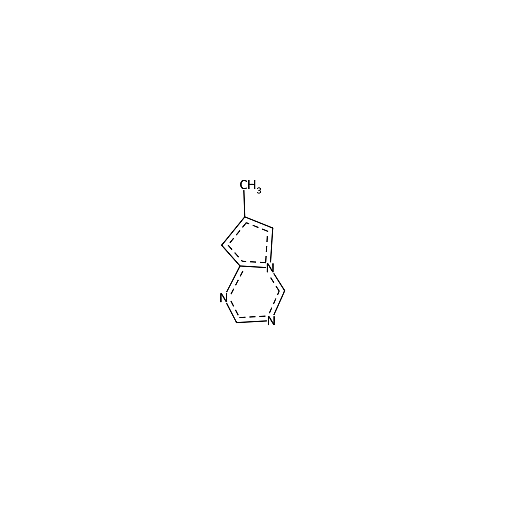 Cc1cc2ncncn2c1